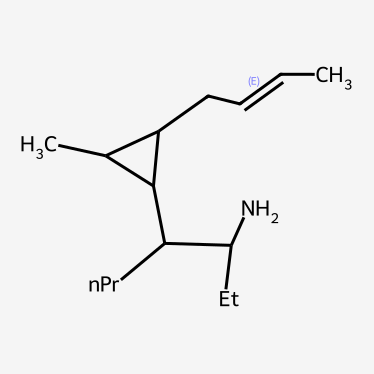 C/C=C/CC1C(C)C1C(CCC)C(N)CC